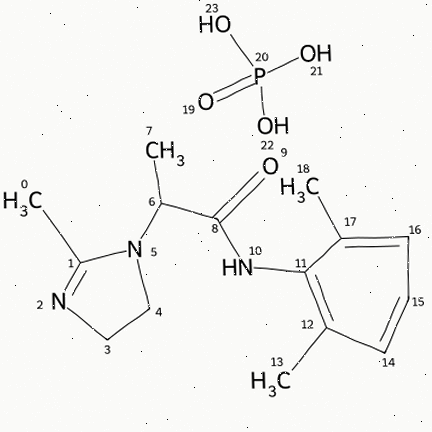 CC1=NCCN1C(C)C(=O)Nc1c(C)cccc1C.O=P(O)(O)O